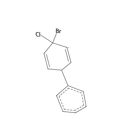 ClC1(Br)[C]=CC(c2ccccc2)C=C1